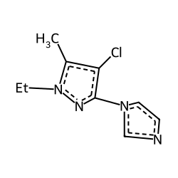 CCn1nc(-n2ccnc2)c(Cl)c1C